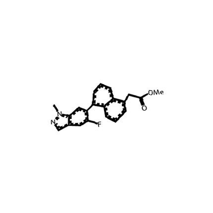 COC(=O)Cc1cccc2c(-c3cc4c(cnn4C)cc3F)cccc12